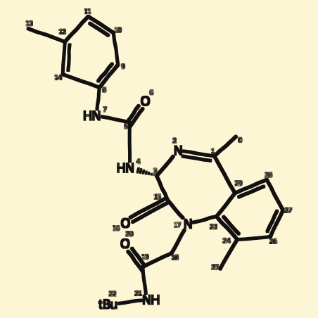 CC1=N[C@@H](NC(=O)Nc2cccc(C)c2)C(=O)N(CC(=O)NC(C)(C)C)c2c(C)cccc21